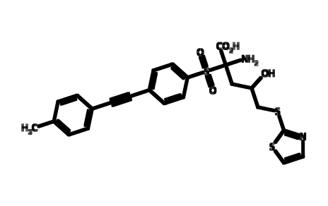 Cc1ccc(C#Cc2ccc(S(=O)(=O)C(N)(CC(O)CSc3nccs3)C(=O)O)cc2)cc1